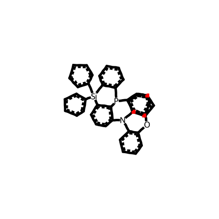 c1ccc(P2c3ccccc3[Si](c3ccccc3)(c3ccccc3)c3cccc(N4c5ccccc5Oc5ccccc54)c32)cc1